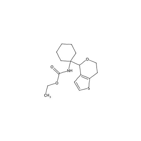 CCOC(=O)NC1(C2OCCc3sccc32)CCCCC1